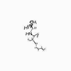 C=C/C=C\C=C(/C)C(C)NCNO